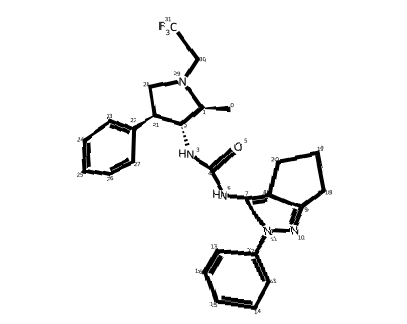 C[C@H]1[C@H](NC(=O)Nc2c3c(nn2-c2ccccc2)CCC3)[C@@H](c2ccccc2)CN1CC(F)(F)F